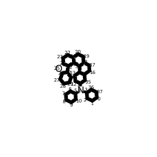 c1ccc(N(c2ccccc2)c2ccc3c(ccc4ccc5ccc6oc7ccccc7c6c5c43)c2)cc1